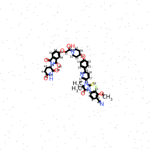 COc1c(C#N)ccc(N2C(=O)C(C)(C)N(c3ccc(-c4ccc(OC5CCN(C(O)COc6ccc7c(c6)C(=O)N(C6CCC(=O)NC6=O)C7=O)CC5)cc4)nc3)C2=S)c1F